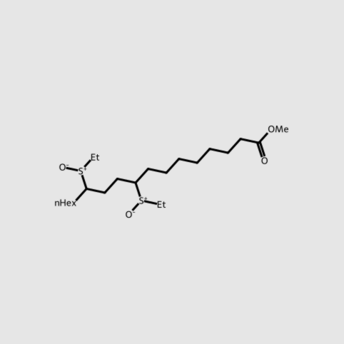 CCCCCCC(CCC(CCCCCCCC(=O)OC)[S+]([O-])CC)[S+]([O-])CC